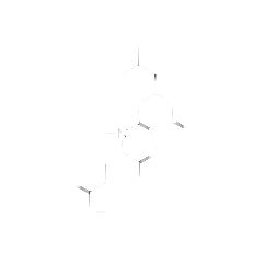 CC(C)C[C@@H](OC=O)OC(=O)N[C@@H](CCC(=O)O)C(=O)O